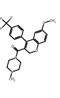 COc1ccc2c(c1)C(c1ccc(C(F)(F)F)cc1)=C(C(=O)N1CCN(C)CC1)CO2